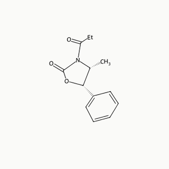 CCC(=O)N1C(=O)O[C@@H](c2ccccc2)[C@H]1C